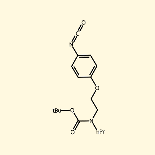 CCCN(CCOc1ccc(N=C=O)cc1)C(=O)OC(C)(C)C